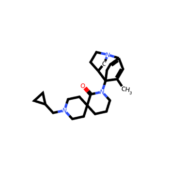 CC1=CC2=CCC1(N1CCCC3(CCN(CC4CC4)CC3)C1=O)C1CCN2C1